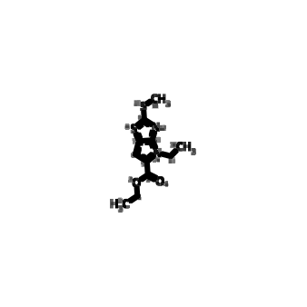 CCOC(=O)c1cc2sc(SC)nc2n1CC